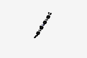 CCCCc1ccc(N=Nc2ccc(/N=C/c3ccc(N=Nc4ccc(N(CC)CC)cc4)cc3)c(C)c2)cc1